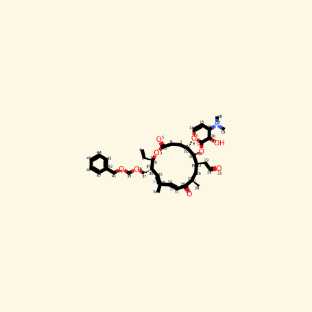 CC[C@H]1OC(=O)CC[C@H](C)[C@@H](OC2OC=CC(N(C)C)C2O)[C@@H](CC=O)C[C@@H](C)C(=O)/C=C/C(C)=C/[C@@H]1COCOCc1ccccc1